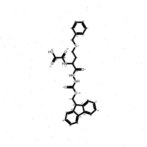 O=C(NNC(=O)C(CCSCc1ccccc1)NC(=O)C(=O)O)OCC1c2ccccc2-c2ccccc21